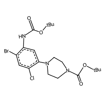 CC(C)(C)OC(=O)Nc1cc(N2CCN(C(=O)OC(C)(C)C)CC2)c(Cl)cc1Br